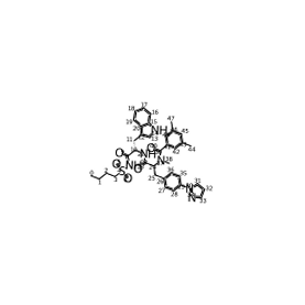 CCCCS(=O)(=O)NC(=O)[C@H](Cc1c[nH]c2ccccc12)NC(=O)[C@H](Cc1ccc(-n2cccn2)cc1)N(C)C(=O)c1cc(C)cc(C)c1